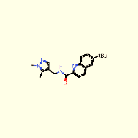 Cc1c(CNC(=O)c2ccc3cc(C(C)(C)C)ccc3n2)cnn1C